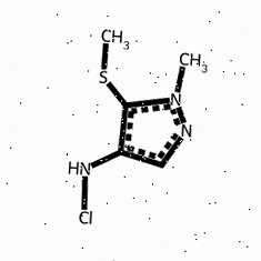 CSc1c(NCl)cnn1C